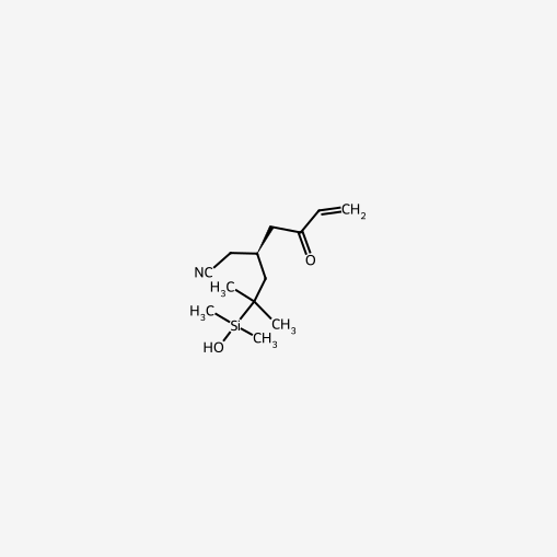 C=CC(=O)C[C@H](CC#N)CC(C)(C)[Si](C)(C)O